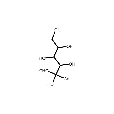 CC(=O)C(O)(C=O)C(O)C(O)C(O)CO